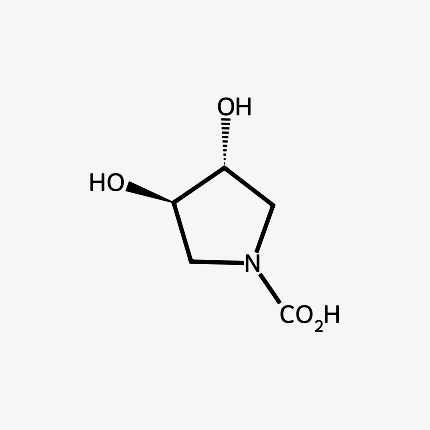 O=C(O)N1C[C@@H](O)[C@H](O)C1